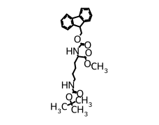 COC(=O)C(CCCCNC(=O)OC(C)(C)C)NC(=O)OCC1c2ccccc2-c2ccccc21